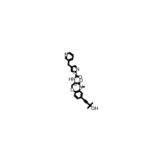 CN1C(=O)[C@@H](NC(=O)n2cc(Cc3cccnc3)cn2)COc2ccc(C#CC(C)(C)O)cc21